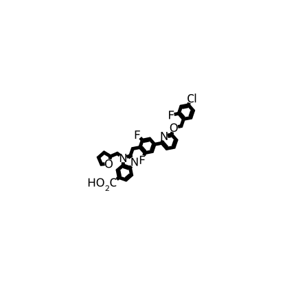 O=C(O)c1ccc2nc(Cc3c(F)cc(-c4cccc(OCc5ccc(Cl)cc5F)n4)cc3F)n(CC3CCCO3)c2c1